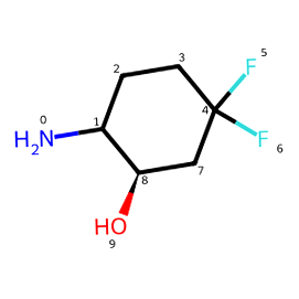 NC1CCC(F)(F)C[C@H]1O